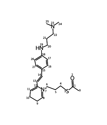 CC(=O)SCCC[N+]1=CCCC=C1/C=C/c1ccc(NCCCN(C)C)cc1